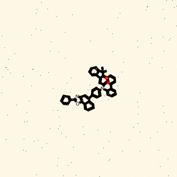 CC1(C)c2ccccc2-c2cc(N(c3ccc(-c4cc5nc(-c6ccccc6)oc5c5ccccc45)cc3)c3ccccc3-c3ccccc3)ccc21